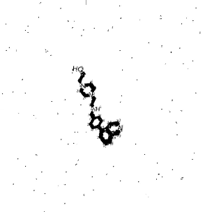 OCCN1CCN(CCNC=C2CCC(c3cccc4cnccc34)CC2)CC1